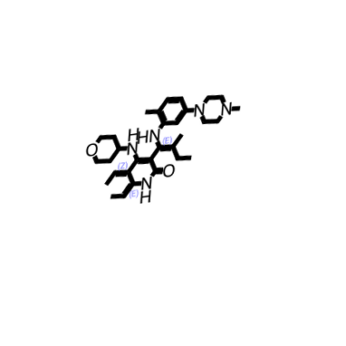 C/C=c1/c(NC2CCOCC2)c(/C(Nc2cc(N3CCN(C)CC3)ccc2C)=C(/C)CC)c(=O)[nH]/c1=C/C